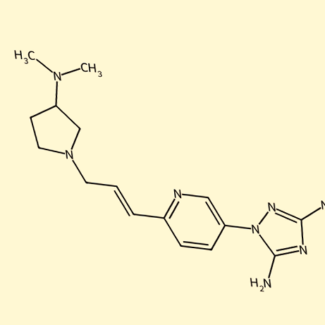 CN(C)C1CCN(CC=Cc2ccc(-n3nc(N)nc3N)cn2)C1